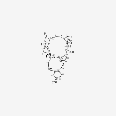 CC[C@@H]1CCCC[C@](O)(COC)[C@@H]2CC[C@H]2CN2CCCCc3cc(Cl)ccc3COc3ccc(cc32)C(O)NS1(=O)=O